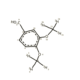 [2H]C([2H])([2H])Oc1ccc(C(=O)O)cc1OC([2H])([2H])[2H]